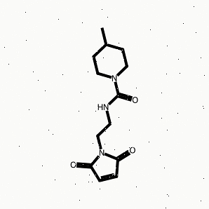 CC1CCN(C(=O)NCCN2C(=O)C=CC2=O)CC1